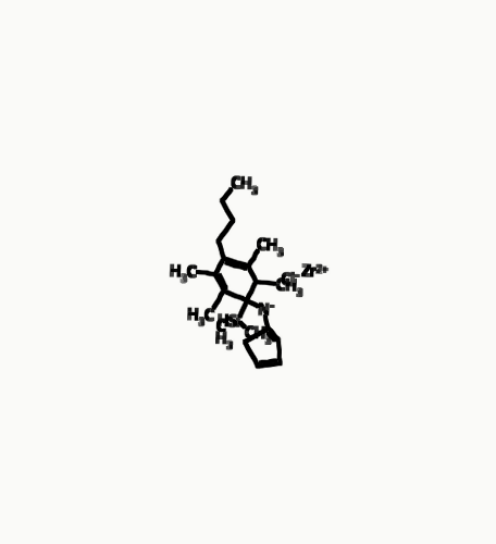 CCCCC1=C(C)C(C)C([N-]C2=CC=CC2)([SiH](C)C)C(C)=C1C.[Cl-].[Zr+2]